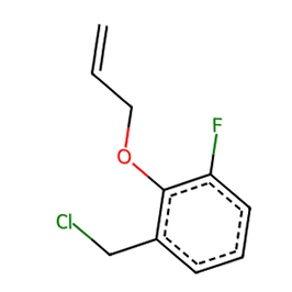 C=CCOc1c(F)cccc1CCl